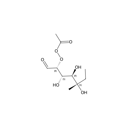 CC[C@](C)(O)[C@H](O)[C@H](O)[C@H](C=O)OOC(C)=O